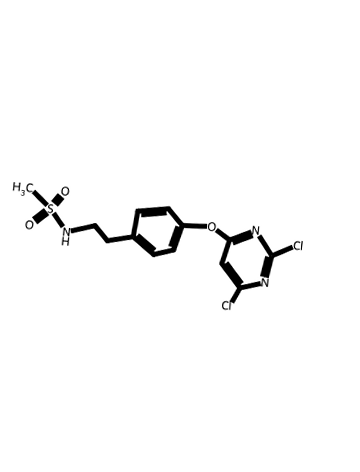 CS(=O)(=O)NCCc1ccc(Oc2cc(Cl)nc(Cl)n2)cc1